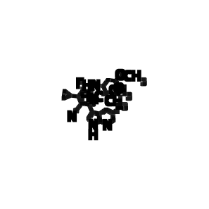 COC(=O)CC(Nc1nc(-c2c[nH]c3ncc(F)cc23)c(C#N)c(C2CC2)c1F)C(C)(C)C